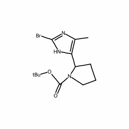 Cc1nc(Br)[nH]c1C1CCCN1C(=O)OC(C)(C)C